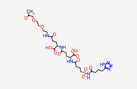 CC(=O)COCCOCCNC(=O)CCC(NC(=O)CCC(NC(=O)CCCS(=O)(=O)NC(=O)CCCc1nnn[nH]1)C(=O)O)C(=O)O